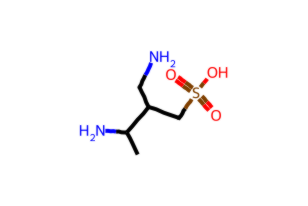 CC(N)C(CN)CS(=O)(=O)O